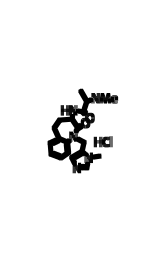 CNC(C)C(=O)NC1CCc2ccccc2N(Cc2cncn2C)C1=O.Cl